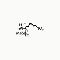 CCCC(OP(CC)SC)/C(C)=C/C=C\C=C\[N+](=O)[O-]